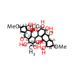 COc1cc(O)c2c(c1)C(=O)C1=C(C2=O)[C@@H]([C@@H]2C3=C(C(=O)c4cc(OC)cc(O)c4C3=O)[C@@H](O)[C@](C)(O)[C@@H]2O)[C@@H](O)[C@@](C)(O)[C@@H]1O